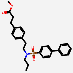 CCCN(CCc1ccc(CCC(=O)OC)cc1)S(=O)(=O)c1ccc(-c2ccccc2)cc1